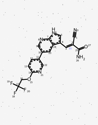 N#C/C(=C\c1c[nH]c2ncc(-c3ccc(OCC(F)(F)F)nc3)cc12)C(N)=O